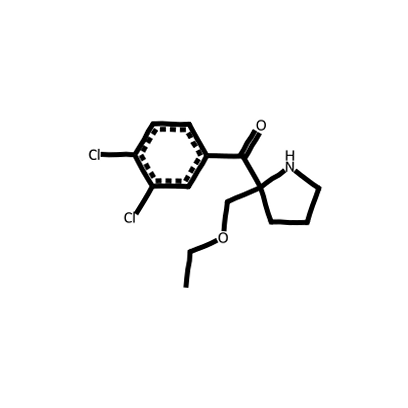 CCOCC1(C(=O)c2ccc(Cl)c(Cl)c2)CCCN1